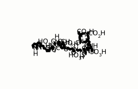 Cc1cc(OCCCC(=O)NCCNC(=O)C(CS(=O)(=O)O)NC(=O)C(CS(=O)(=O)O)NC(=O)CN2CCN(CC(=O)O)CCN(CC(=O)O)CCN(CC(=O)O)CC2)cc(C)c1S(=O)(=O)N[C@H](CNC(=O)c1ccc(CCc2ccc3c(n2)NCCC3)s1)C(=O)O